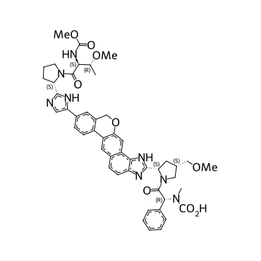 COC[C@H]1C[C@@H](c2nc3ccc4cc5c(cc4c3[nH]2)OCc2cc(-c3cnc([C@@H]4CCCN4C(=O)[C@@H](NC(=O)OC)[C@@H](C)OC)[nH]3)ccc2-5)N(C(=O)[C@@H](c2ccccc2)N(C)C(=O)O)C1